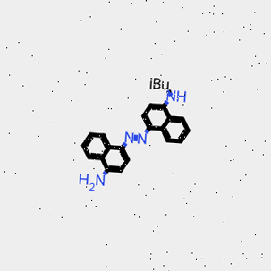 CCC(C)Nc1ccc(/N=N/c2ccc(N)c3ccccc23)c2ccccc12